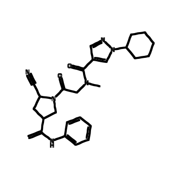 C=C(Nc1ccccc1)C1CC(C#N)N(C(=O)CN(C)C(=O)c2cnn(C3CCCCC3)c2)C1